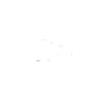 O=C1C(P(=O)(O)O)CC[C@H]2CCC[C@@H](c3cccc(F)c3)N12